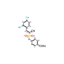 COc1ccc(CS(=O)(=O)/C(C#N)=C/c2ccc(F)cc2F)cc1